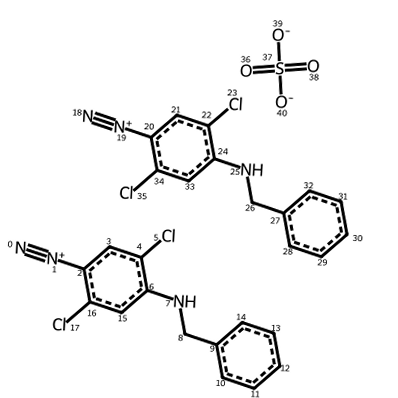 N#[N+]c1cc(Cl)c(NCc2ccccc2)cc1Cl.N#[N+]c1cc(Cl)c(NCc2ccccc2)cc1Cl.O=S(=O)([O-])[O-]